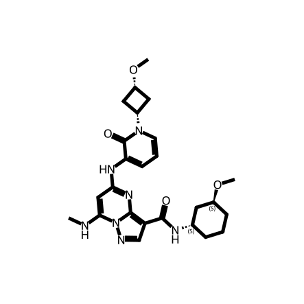 CNc1cc(Nc2cccn([C@H]3C[C@@H](OC)C3)c2=O)nc2c(C(=O)N[C@H]3CCC[C@H](OC)C3)cnn12